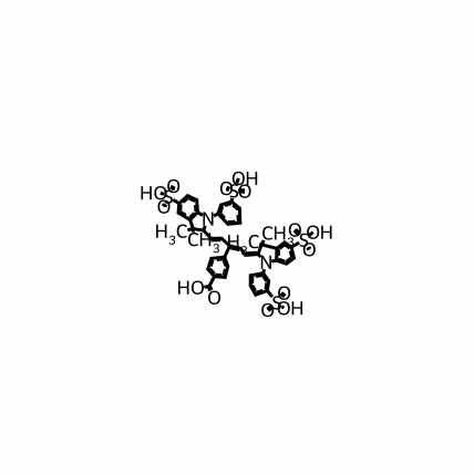 CC1(C)\C(=C/C=C(/C=C/C2N(c3cccc(S(=O)(=O)O)c3)c3ccc(S(=O)(=O)O)cc3C2(C)C)c2ccc(C(=O)O)cc2)N(c2cccc(S(=O)(=O)O)c2)c2ccc(S(=O)(=O)O)cc21